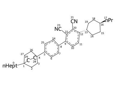 CCCCCCCC12CCC(c3ccc(-c4ccc([C@H]5CC[C@H](CCC)CC5)c(C#N)c4C#N)cc3)(CC1)CC2